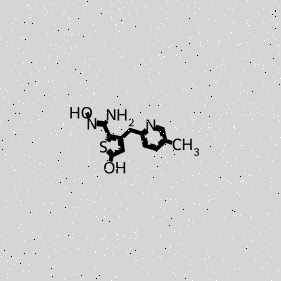 Cc1ccc(Cc2cc(O)sc2/C(N)=N/O)nc1